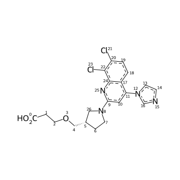 O=C(O)CCOC[C@H]1CCN(c2cc(-n3ccnc3)c3ccc(Cl)c(Cl)c3n2)C1